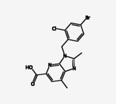 Cc1cc(C(=O)O)nc2c1nc(C)n2Cc1ccc(Br)cc1Cl